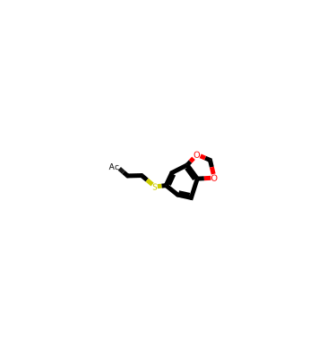 CC(=O)CCSc1ccc2c(c1)OCO2